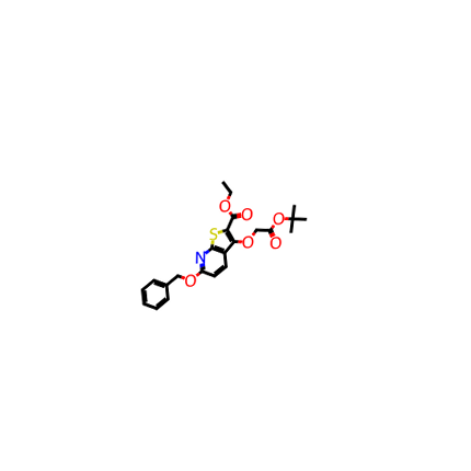 CCOC(=O)c1sc2nc(OCc3ccccc3)ccc2c1OCC(=O)OC(C)(C)C